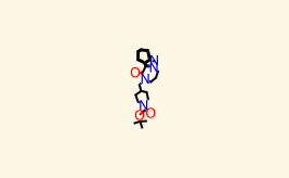 CC(C)(C)OC(=O)N1CCC(CN2CCCn3nc4ccccc4c3C2=O)CC1